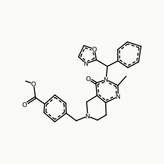 COC(=O)c1ccc(CN2CCc3nc(C)n(C(c4ccccc4)c4ncco4)c(=O)c3C2)cc1